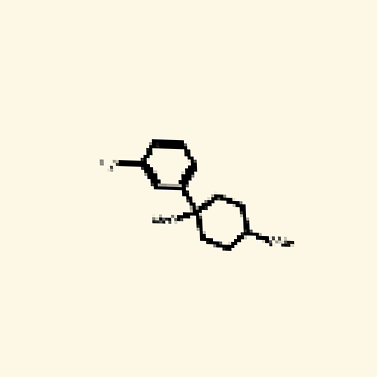 COC1CCC(OC)(c2cccc(N)c2)CC1